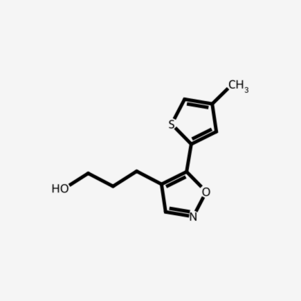 Cc1csc(-c2oncc2CCCO)c1